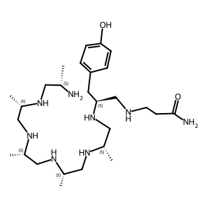 C[C@H](N)CN[C@@H](C)CN[C@@H](C)CN[C@@H](C)CN[C@@H](C)CN[C@H](CNCCC(N)=O)Cc1ccc(O)cc1